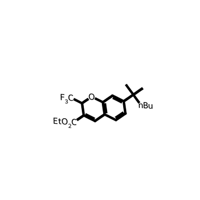 CCCCC(C)(C)c1ccc2c(c1)OC(C(F)(F)F)C(C(=O)OCC)=C2